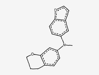 CN(c1ccc2c(c1)OCCC2)c1ccc2occc2c1